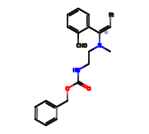 CC/C=C(\c1ccccc1C=O)N(C)CCNC(=O)OCc1ccccc1